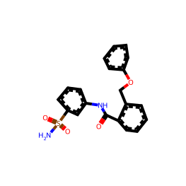 NS(=O)(=O)c1cccc(NC(=O)c2ccccc2COc2ccccc2)c1